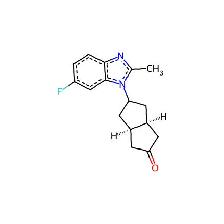 Cc1nc2ccc(F)cc2n1C1C[C@H]2CC(=O)C[C@H]2C1